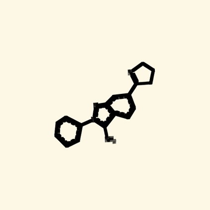 Nc1c2ccc(C3=NCCC3)cc2nn1-c1ccccc1